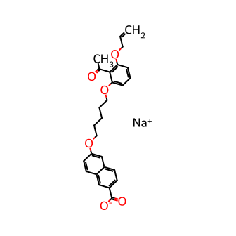 C=CCOc1cccc(OCCCCCOc2ccc3cc(C(=O)[O-])ccc3c2)c1C(C)=O.[Na+]